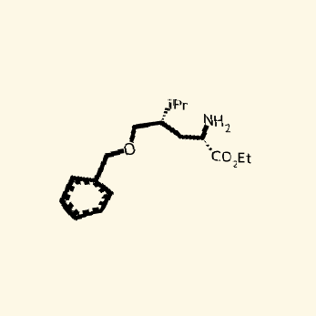 CCOC(=O)[C@@H](N)C[C@H](COCc1ccccc1)C(C)C